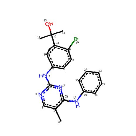 Cc1cnc(Nc2ccc(Br)c(C(C)(C)O)c2)nc1Nc1ccccc1